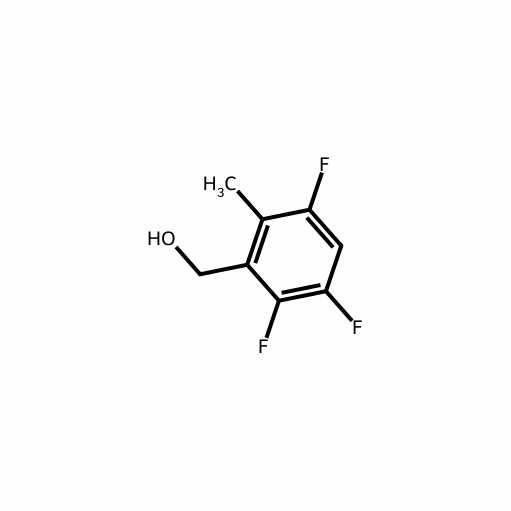 Cc1c(F)cc(F)c(F)c1CO